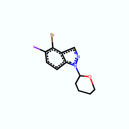 Brc1c(I)ccc2c1cnn2C1CCCCO1